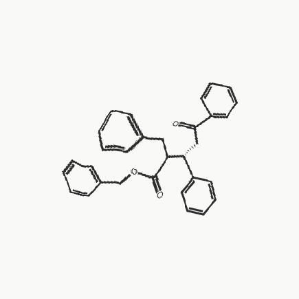 O=C(C[C@H](c1ccccc1)C(Cc1ccccc1)C(=O)OCc1ccccc1)c1ccccc1